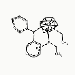 CCP(CC)[C]12[C]3(CC)[CH]4[CH]5[C]1(P(c1ccccc1)c1ccccc1)[Fe]45321678[CH]2[CH]1[CH]6[CH]7[CH]28